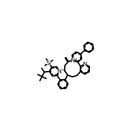 C=C1CC2C(CCc3cccnc3-c3cc(-c4ccccc4)cc[n+]31)c1ccccc1-c1cc(C(C)C(C)(C)C)c([Si](C)(C)C)c[n+]12